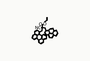 C=CCOC(=O)C(C#N)(Cc1ccc2ccc3cccc4ccc1c2c34)Cc1ccc2cccc3c4cccc5cccc(c1c23)c54